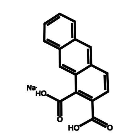 O=C(O)c1ccc2cc3ccccc3cc2c1C(=O)O.[Na]